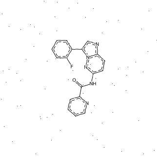 O=C(Nc1ccc2ncc(-c3ccccc3F)n2n1)c1ccccn1